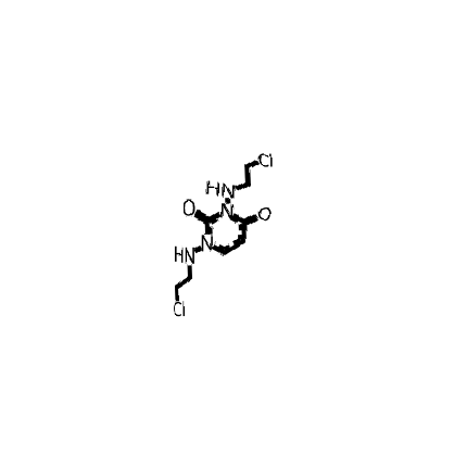 O=c1ccn(NCCCl)c(=O)n1NCCCl